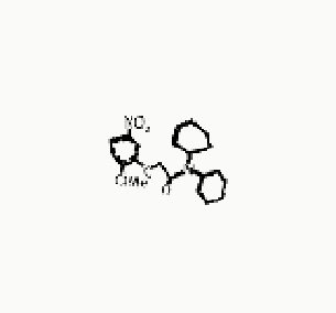 COc1ccc([N+](=O)[O-])cc1OCC(=O)N(C1CCCCC1)C1CCCCC1